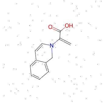 C=C(C(=O)O)N1C=Cc2ccccc2C1